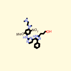 COc1cc(N(C)CCN(C)C)c([N+](=O)[O-])cc1Nc1nccc(-c2[nH]c(CCCO)nc2-c2ccccc2)n1